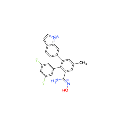 Cc1cc(/C(N)=N/O)c(-c2cc(F)cc(F)c2)c(-c2ccc3cc[nH]c3c2)c1